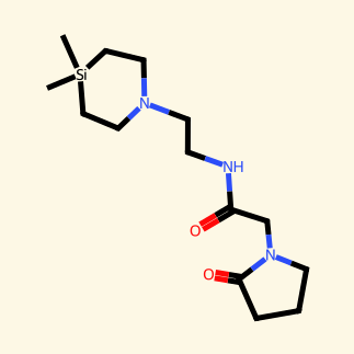 C[Si]1(C)CCN(CCNC(=O)CN2CCCC2=O)CC1